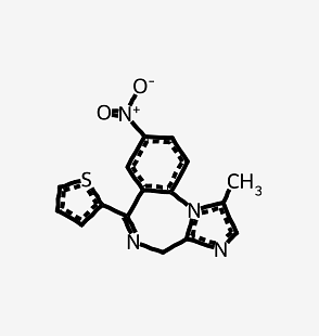 Cc1cnc2n1-c1ccc([N+](=O)[O-])cc1C(c1cccs1)=NC2